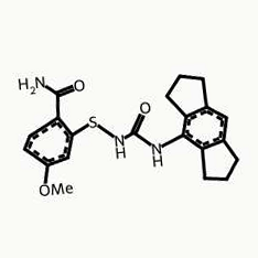 COc1ccc(C(N)=O)c(SNC(=O)Nc2c3c(cc4c2CCC4)CCC3)c1